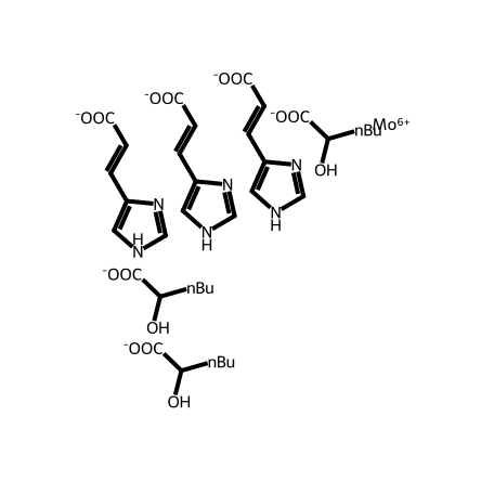 CCCCC(O)C(=O)[O-].CCCCC(O)C(=O)[O-].CCCCC(O)C(=O)[O-].O=C([O-])C=Cc1c[nH]cn1.O=C([O-])C=Cc1c[nH]cn1.O=C([O-])C=Cc1c[nH]cn1.[Mo+6]